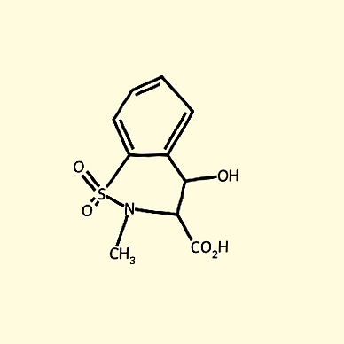 CN1C(C(=O)O)C(O)c2ccccc2S1(=O)=O